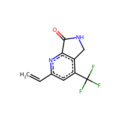 C=Cc1cc(C(F)(F)F)c2c(n1)C(=O)NC2